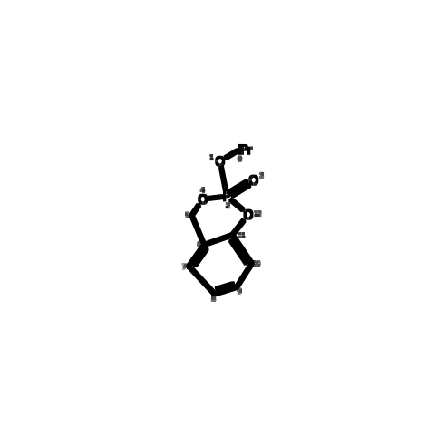 CC(C)OP1(=O)OCc2ccccc2O1